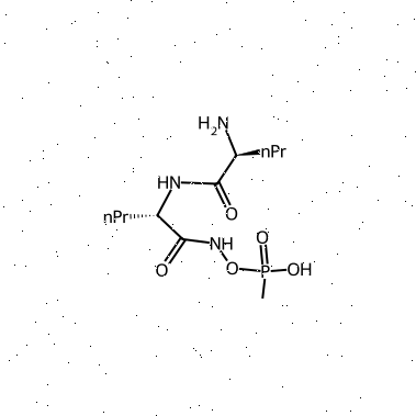 CCC[C@H](NC(=O)[C@@H](N)CCC)C(=O)NOP(C)(=O)O